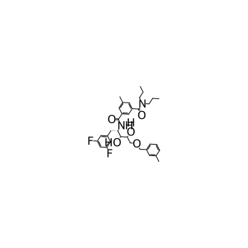 CCCN(CCC)C(=O)c1cc(C)cc(C(=O)N[C@@H](Cc2cc(F)cc(F)c2)[C@@H](O)C(O)COCc2cccc(C)c2)c1